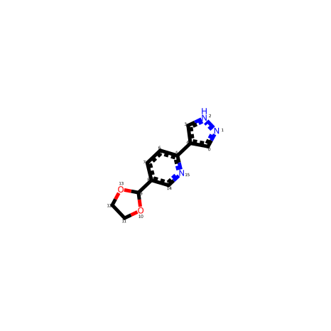 c1n[nH]cc1-c1ccc(C2OCCO2)cn1